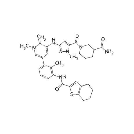 C=C1C(Nc2cc(C(=O)N3CCCC(C(N)=O)C3)n(C)n2)=CC(c2cccc(NC(=O)c3cc4c(s3)CCCC4)c2C)=CN1C